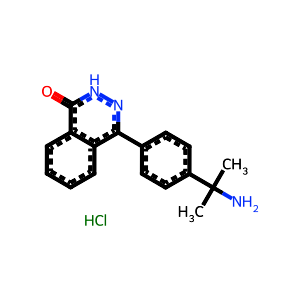 CC(C)(N)c1ccc(-c2n[nH]c(=O)c3ccccc23)cc1.Cl